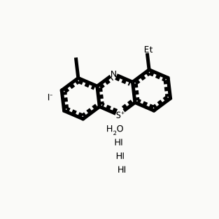 CCc1cccc2[s+]c3cccc(C)c3nc12.I.I.I.O.[I-]